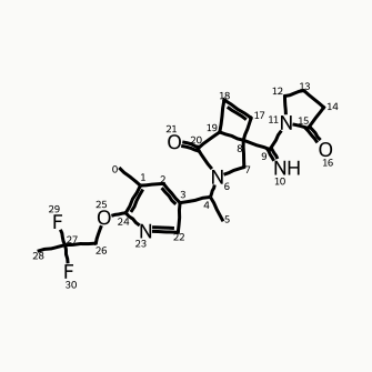 Cc1cc(C(C)N2CC3(C(=N)N4CCCC4=O)C=CC3C2=O)cnc1OCC(C)(F)F